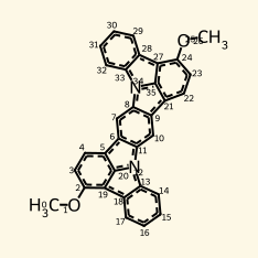 COc1ccc2c3cc4c(cc3n3c5ccccc5c1c23)c1ccc(OC)c2c3ccccc3n4c12